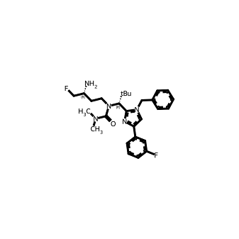 CN(C)C(=O)N(CC[C@@H](N)CF)[C@@H](c1nc(-c2cccc(F)c2)cn1Cc1ccccc1)C(C)(C)C